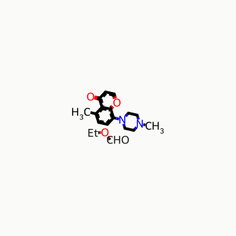 CCOC=O.Cc1ccc(N2CCN(C)CC2)c2occc(=O)c12